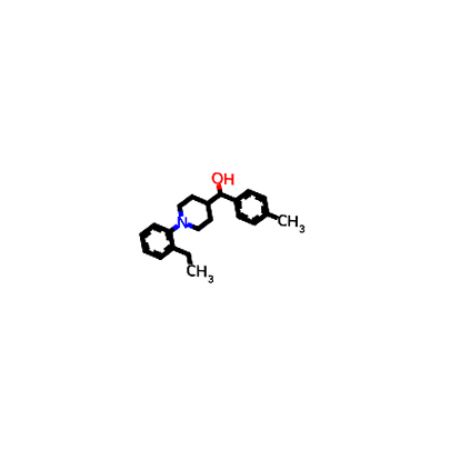 CCc1ccccc1N1CCC(C(O)c2ccc(C)cc2)CC1